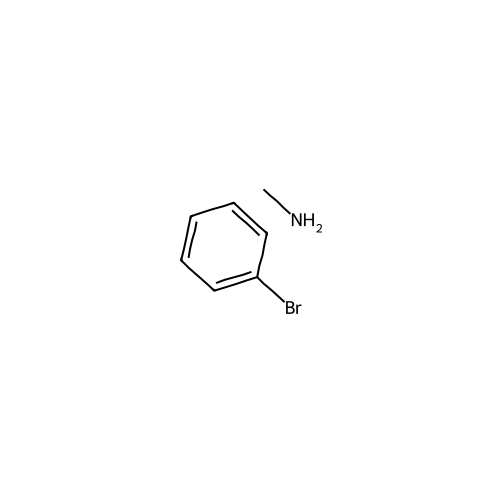 Brc1ccccc1.CN